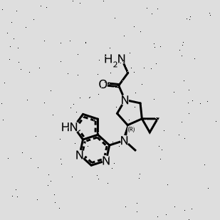 CN(c1ncnc2[nH]ccc12)[C@H]1CN(C(=O)CN)CC12CC2